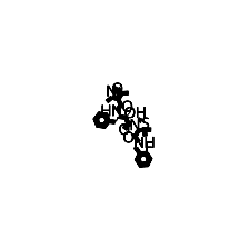 Cc1noc(C)c1C(=O)N[C@@H](Cc1ccccc1)[C@H](O)C(=O)N1CSC(C)(C)C1C(=O)NCc1ccccc1F